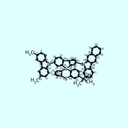 Cc1ccc2c(c1)c1cc(C)ccc1n2-c1ccc2c(c1)S1(c3ccccc3Sc3cc(C(C)(C)C)ccc31)c1cc(-n3c4ccccc4c4cc5ccccc5cc43)ccc1-2